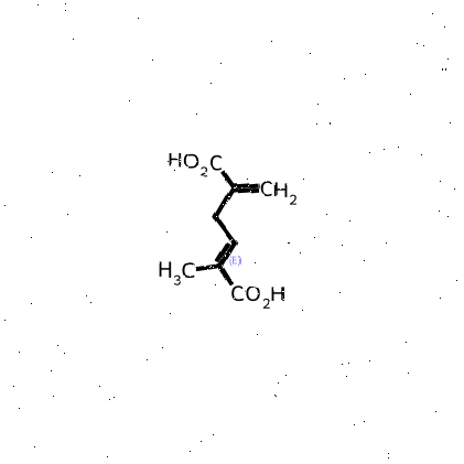 C=C(C/C=C(\C)C(=O)O)C(=O)O